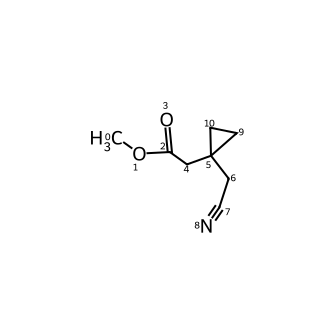 COC(=O)CC1(CC#N)CC1